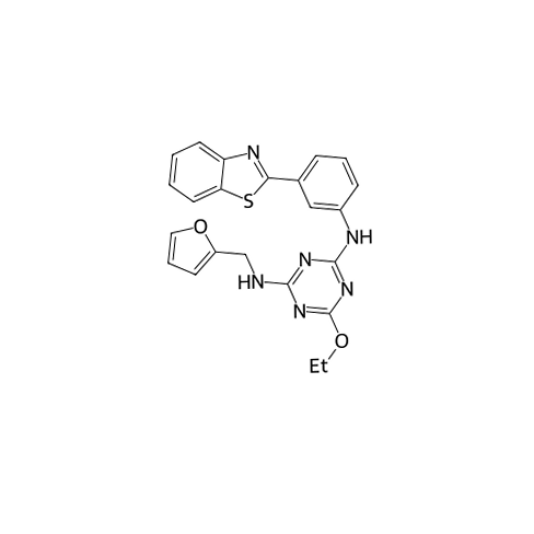 CCOc1nc(NCc2ccco2)nc(Nc2cccc(-c3nc4ccccc4s3)c2)n1